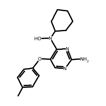 Cc1ccc(Oc2cnc(N)nc2N(O)C2CCCCC2)cc1